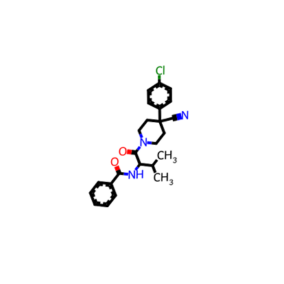 CC(C)C(NC(=O)c1ccccc1)C(=O)N1CCC(C#N)(c2ccc(Cl)cc2)CC1